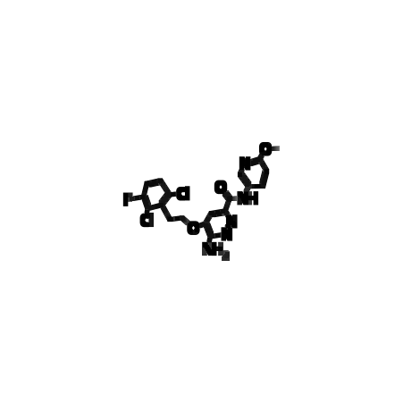 COc1ccc(NC(=O)c2cc(OCCc3c(Cl)ccc(F)c3Cl)c(N)nn2)cn1